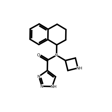 O=C(c1c[nH]nn1)N(C1CNC1)C1CCCc2ccccc21